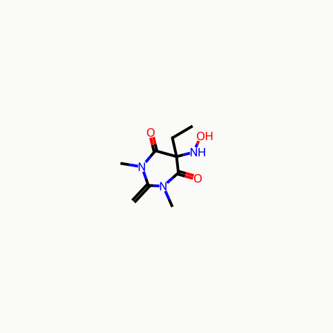 C=C1N(C)C(=O)C(CC)(NO)C(=O)N1C